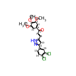 COc1cc(C(=O)C=Cc2cc(-c3ccc(Cl)c(Cl)c3)n[nH]2)cc(OC)c1OC